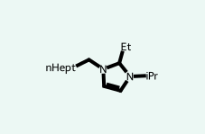 CCCCCCCCN1C=CN(C(C)C)C1CC